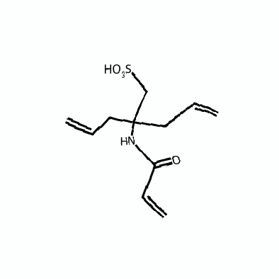 C=CCC(CC=C)(CS(=O)(=O)O)NC(=O)C=C